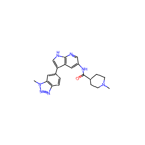 CN1CCC(C(=O)Nc2cnc3[nH]cc(-c4ccc5nnn(C)c5c4)c3c2)CC1